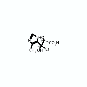 CC[C@@](O)(c1scnc1C)[C@H](O)C(=O)O